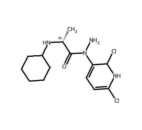 C[C@@H](NC1CCCCC1)C(=O)N(N)C1=CC=C(Cl)NC1Cl